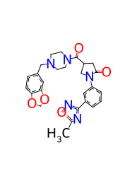 Cc1nc(-c2cccc(N3CC(C(=O)N4CCN(Cc5ccc6c(c5)OCO6)CC4)CC3=O)c2)no1